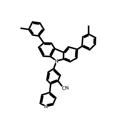 Cc1cccc(-c2ccc3c(c2)c2cc(-c4cccc(C)c4)ccc2n3-c2ccc(-c3ccncc3)c(C#N)c2)c1